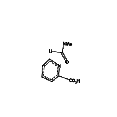 O=C(O)c1ccccn1.[Li][C](=O)NC